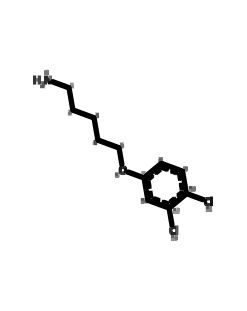 NCCCCCOc1ccc(Cl)c(Cl)c1